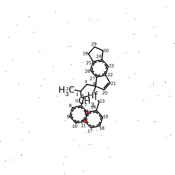 CC(C)C[C]1([Hf]([CH2]c2ccccc2)[CH2]c2ccccc2)C=Cc2cc3c(cc21)CCC3